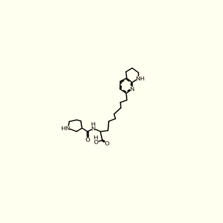 O=C(NC(CCCCCCCc1ccc2c(n1)NCCC2)C(=O)O)C1CCCNC1